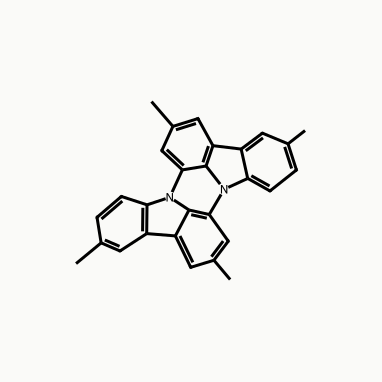 Cc1ccc2c(c1)c1cc(C)cc3c1n2c1cc(C)cc2c4cc(C)ccc4n3c21